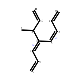 C=C/C=C\C(=C/C=C)C(C)C=C